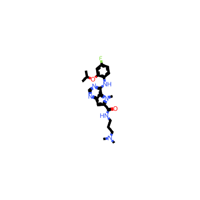 CC(C)Oc1cc(F)ccc1Nc1ncnc2cc(C(=O)NCCCN(C)C)n(C)c12